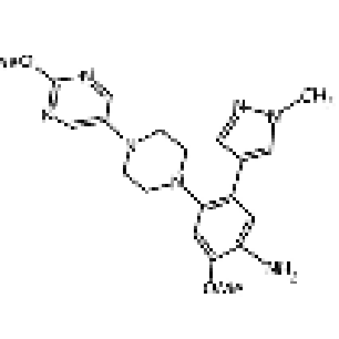 COc1ncc(N2CCN(c3cc(OC)c(N)cc3-c3cnn(C)c3)CC2)cn1